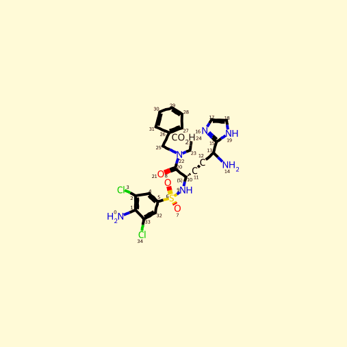 Nc1c(Cl)cc(S(=O)(=O)N[C@@H](CCC(N)c2ncc[nH]2)C(=O)N(CC(=O)O)Cc2ccccc2)cc1Cl